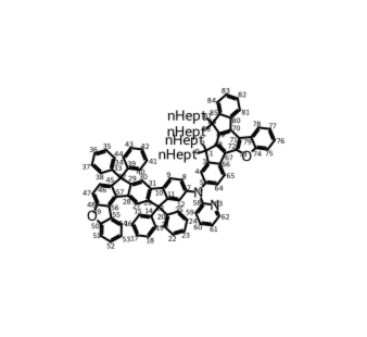 CCCCCCCC1(CCCCCCC)c2cc(N(c3ccc4c(c3)C(c3ccccc3)(c3ccccc3)c3cc5c(cc3-4)C(c3ccccc3)(c3ccccc3)c3ccc4oc6ccccc6c4c3-5)c3ccccn3)ccc2-c2c1c1c(c3c2oc2ccccc23)-c2ccccc2C1(CCCCCCC)CCCCCCC